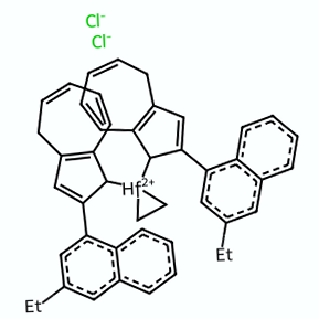 CCc1cc(C2=CC3=C(C=CC=CC3)[CH]2[Hf+2]2([CH]3C(c4cc(CC)cc5ccccc45)=CC4=C3C=CC=CC4)[CH2][CH2]2)c2ccccc2c1.[Cl-].[Cl-]